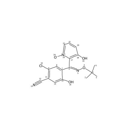 CC(C)(C)O/N=C(/c1cc(Cl)c(C#N)cc1O)c1c(O)ccc[n+]1[O-]